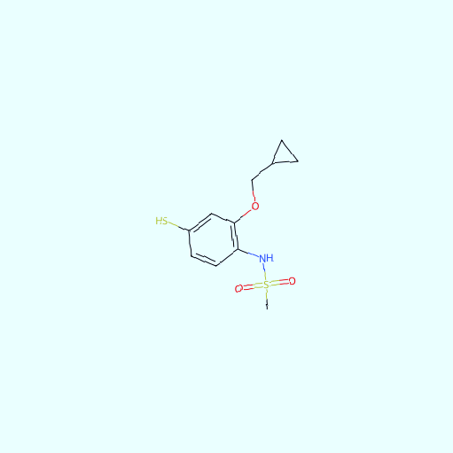 CS(=O)(=O)Nc1ccc(S)cc1OCC1CC1